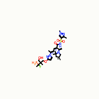 C=C(/C(=C\C=C(/C)n1ccc(OCC(C)(CO)C(C)(F)P)n1)C(=O)NS(=O)(=O)c1cn(C)nc1C)N1C[C@@H](C)CC1(C)C